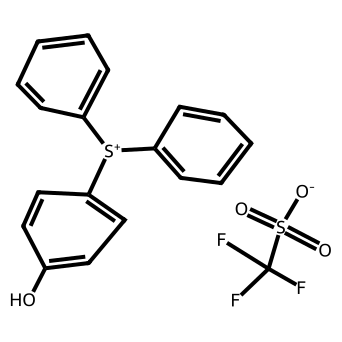 O=S(=O)([O-])C(F)(F)F.Oc1ccc([S+](c2ccccc2)c2ccccc2)cc1